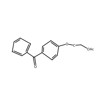 CC(=O)OCCOc1ccc(C(=O)c2ccccc2)cc1